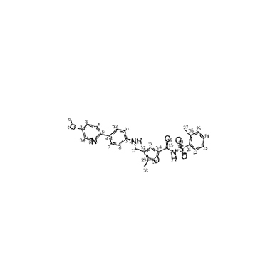 COc1ccc(-c2ccc(NCc3cc(C(=O)NS(=O)(=O)c4ccccc4C)oc3C)cc2)nc1